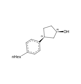 CCCCCCc1ccc([C@H]2CC[C@@H](O)C2)cc1